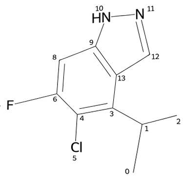 CC(C)c1c(Cl)c(F)cc2[nH]ncc12